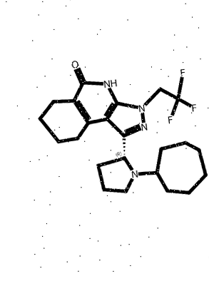 O=c1[nH]c2c(c([C@H]3CCCN3C3CCCCCC3)nn2CC(F)(F)F)c2c1CCCC2